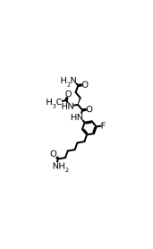 CC(=O)N[C@@H](CCC(N)=O)C(=O)Nc1cc(F)cc(CCCCCC(N)=O)c1